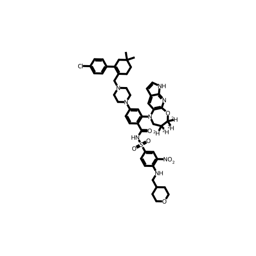 [2H]C1([2H])CN(c2cc(N3CCN(CC4=C(c5ccc(Cl)cc5)CC(C)(C)CC4)CC3)ccc2C(=O)NS(=O)(=O)c2ccc(NCC3CCOCC3)c([N+](=O)[O-])c2)c2cc3cc[nH]c3nc2OC1([2H])[2H]